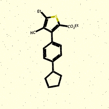 CCOC(=O)c1sc(CC)c(C#N)c1-c1ccc(C2CCCC2)cc1